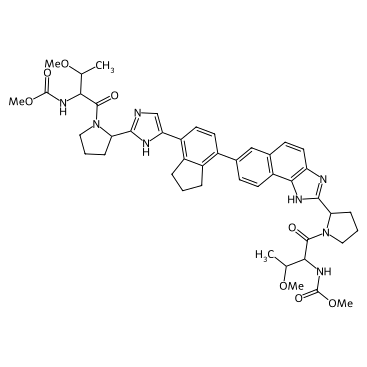 COC(=O)NC(C(=O)N1CCCC1c1ncc(-c2ccc(-c3ccc4c(ccc5nc(C6CCCN6C(=O)C(NC(=O)OC)C(C)OC)[nH]c54)c3)c3c2CCC3)[nH]1)C(C)OC